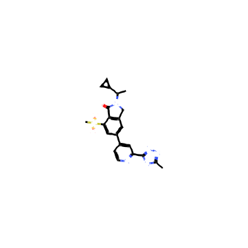 Cc1nnc(-c2cc(-c3cc4c(c(S(C)(=O)=O)c3)C(=O)N(C(C)C3CC3)C4)ccn2)[nH]1